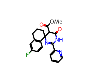 COC(=O)C1C(=O)NC(c2ccccn2)=NC12CCCc1cc(F)ccc12